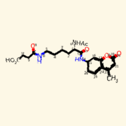 CC(=O)N[C@@H](CCCCNC(=O)CCC(=O)O)C(=O)NC1C=c2oc(=O)cc(C)c2=CC1